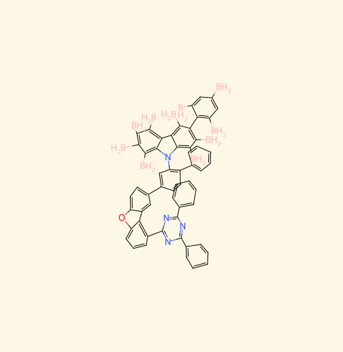 Bc1cc(B)c(-c2c(B)c(B)c3c(c2B)c2c(B)c(B)c(B)c(B)c2n3-c2cc(-c3ccc4oc5cccc(-c6nc(-c7ccccc7)nc(-c7ccccc7)n6)c5c4c3)ccc2-c2ccccc2)c(B)c1